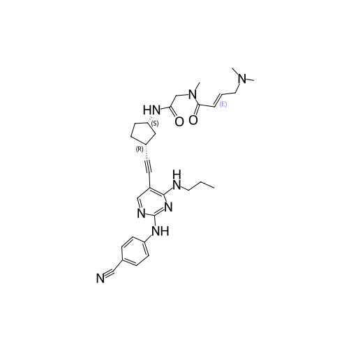 CCCNc1nc(Nc2ccc(C#N)cc2)ncc1C#C[C@@H]1CC[C@H](NC(=O)CN(C)C(=O)/C=C/CN(C)C)C1